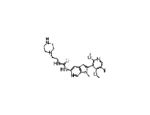 COc1ncc(F)c(OC)c1-c1cc2cc(NC(=O)NCCN3CCNCC3)ncc2n1C